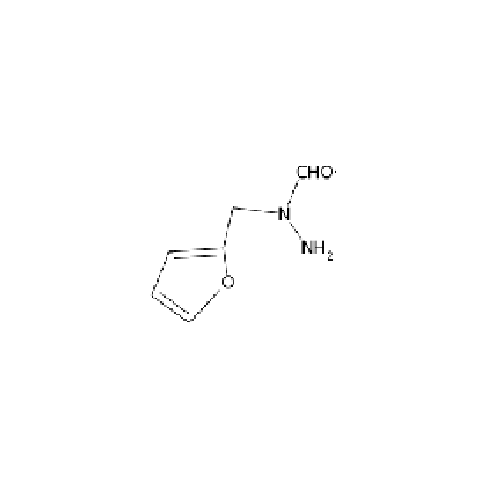 NN([C]=O)Cc1ccco1